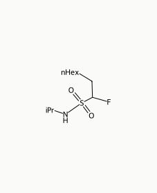 CCCCCCCC(F)S(=O)(=O)NC(C)C